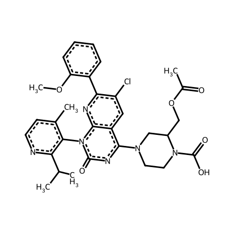 COc1ccccc1-c1nc2c(cc1Cl)c(N1CCN(C(=O)O)C(COC(C)=O)C1)nc(=O)n2-c1c(C)ccnc1C(C)C